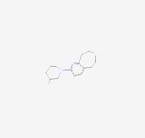 ClC1CCCN(c2ccc3c(n2)CCNCC3)C1